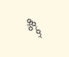 CC(C)Cc1ccc(COc2ccc(O)c(P(=O)(c3ccccc3)c3ccccc3)c2)cc1